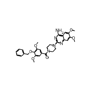 COc1cc2nc(N3CCN(C(=O)c4cc(OC)c(OCc5ccccc5)c(OC)c4)CC3)nc(N)c2cc1OC